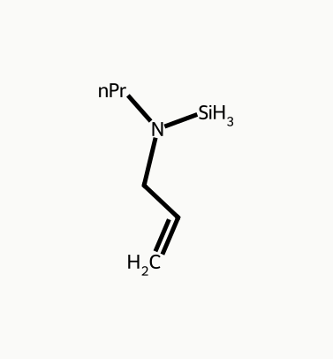 C=CCN([SiH3])CCC